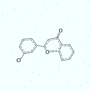 O=c1cc(-c2cccc(Cl)c2)oc2ccccc12